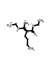 CCCCC(C(=O)OCC)=C(N)OCC